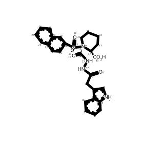 O=C(Cc1c[nH]c2ccccc12)NNC(=O)[N@+]1(S(=O)(=O)c2ccc3ccccc3c2)CCCC[C@H]1C(=O)O